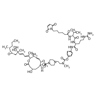 CC[C@H](O)[C@@H](C)[C@H]1O[C@@H]1CC(C)(O)/C=C/C=C(\C)C1OC(=O)CC(O)CCC(C)(O)C(OC(=O)N2CCN(CCN(C)C(=O)Oc3ccc(NC(=O)C(CCCNC(N)=O)NC(=O)C(NC(=O)CCCCCN4C(=O)C=CC4=O)C(C)C)cc3)CC2)C=CC1C